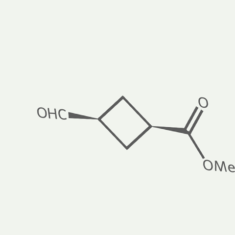 COC(=O)[C@H]1C[C@@H](C=O)C1